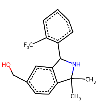 CC1(C)NC(c2ccccc2C(F)(F)F)c2cc(CO)ccc21